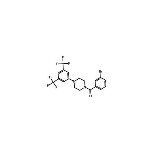 O=C(c1cccc(Br)c1)N1CCN(c2cc(C(F)(F)F)cc(C(F)(F)F)c2)CC1